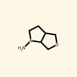 NN1CCC2COCC21